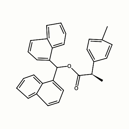 Cc1ccc([C@@H](C)C(=O)OC(c2cccc3ccccc23)c2cccc3ccccc23)cc1